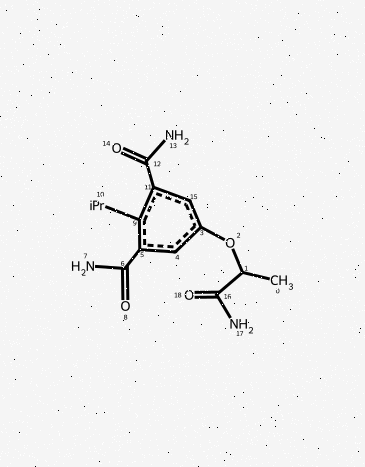 CC(Oc1cc(C(N)=O)c(C(C)C)c(C(N)=O)c1)C(N)=O